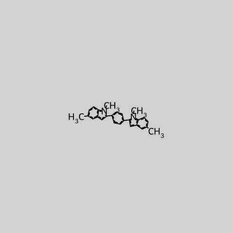 Cc1ccc2c(c1)cc(-c1ccc(-c3cc4cc(C)ccc4n3C)cc1)n2C